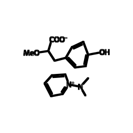 CN(C)[n+]1ccccc1.COC(Cc1ccc(O)cc1)C(=O)[O-]